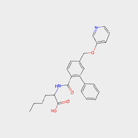 CCCCC(NC(=O)c1ccc(COc2cccnc2)cc1-c1ccccc1)C(=O)O